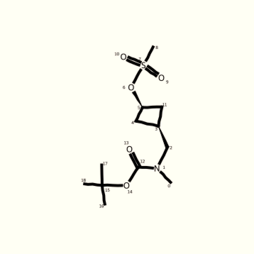 CN(C[C@H]1C[C@@H](OS(C)(=O)=O)C1)C(=O)OC(C)(C)C